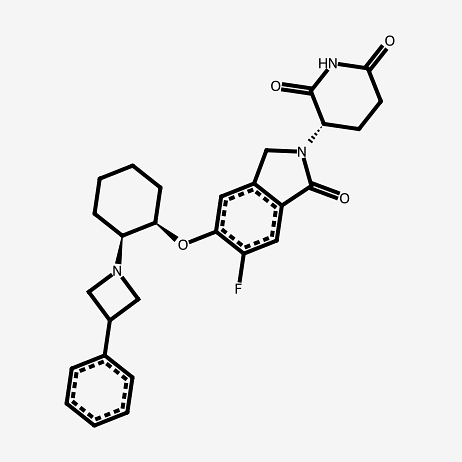 O=C1CC[C@H](N2Cc3cc(O[C@@H]4CCCC[C@@H]4N4CC(c5ccccc5)C4)c(F)cc3C2=O)C(=O)N1